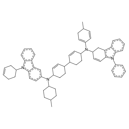 CC1C=CC(N(C2C=CC(C3C=CC(N(c4ccc5c(c4)c4ccccc4n5C4CC=CCC4)C4CCC(C)CC4)CC3)CC2)C2C=Cc3c(c4ccccc4n3-c3ccccc3)C2)=CC1